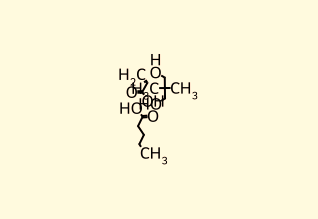 C=CC(=O)O.CC(C)(CO)CO.CCCCC(=O)O